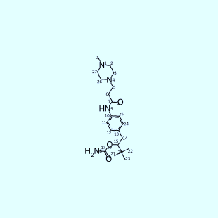 CN1CCN(CCC(=O)Nc2ccc(CC(OC(N)=O)C(C)(C)C)cc2)CC1